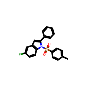 Cc1ccc(S(=O)(=O)n2c(-c3ccccc3)cc3cc(F)ccc32)cc1